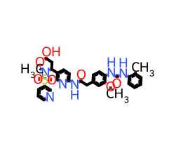 COc1cc(CC(=O)Nc2ccc(C(CC(=O)O)N(C)S(=O)(=O)c3cccnc3)cn2)ccc1NC(=O)Nc1ccccc1C